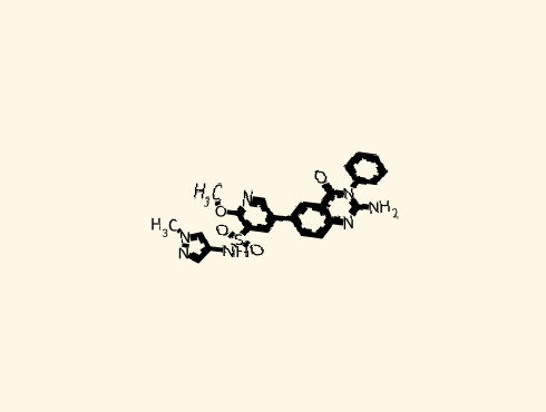 COc1ncc(-c2ccc3nc(N)n(-c4ccccc4)c(=O)c3c2)cc1S(=O)(=O)Nc1cnn(C)c1